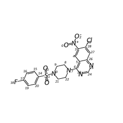 O=[N+]([O-])c1cc2c(N3CCN(S(=O)(=O)c4ccc(F)cc4)CC3)ncnc2cc1Cl